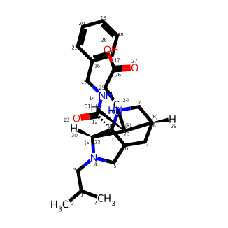 CC(C)CN1CC2C[C@H]3CN[C@]2(C(=O)NCc2ccccc2)[C@@H]1[C@@H]3CCC(=O)O